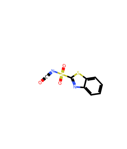 O=C=NS(=O)(=O)c1nc2ccccc2s1